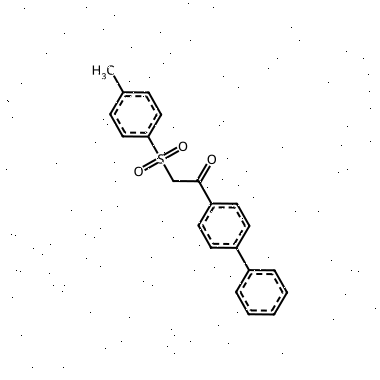 Cc1ccc(S(=O)(=O)CC(=O)c2ccc(-c3ccccc3)cc2)cc1